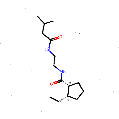 CC[C@H]1CCC[C@H]1C(=O)NCCNC(=O)CC(C)C